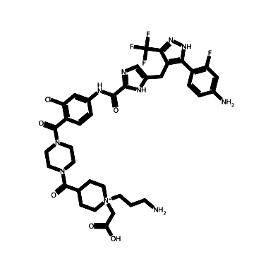 NCCC[N+]1(CC(=O)O)CCC(C(=O)N2CCN(C(=O)c3ccc(NC(=O)c4ncc(Cc5c(C(F)(F)F)n[nH]c5-c5ccc(N)cc5F)[nH]4)cc3Cl)CC2)CC1